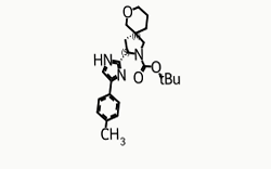 Cc1ccc(-c2c[nH]c([C@@H]3C[C@]4(CCCOC4)CN3C(=O)OC(C)(C)C)n2)cc1